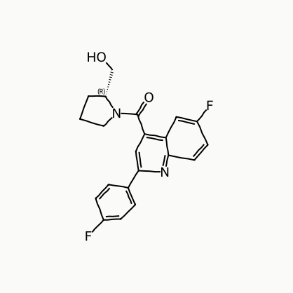 O=C(c1cc(-c2ccc(F)cc2)nc2ccc(F)cc12)N1CCC[C@@H]1CO